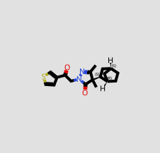 CC1=NN(CC(=O)c2ccsc2)C(=O)C1(C)[C@H]1C[C@H]2CC[C@@H]1C2